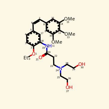 CCOc1ccc(/C=C\c2cc(OC)c(OC)c(OC)c2)cc1NC(=O)CCN(CCO)CCO